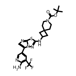 CC(C)(C)OC(=O)N1CCC2(CC1)CC(Nc1nn3c(-c4cnc(N)c(C(F)(F)F)c4)cnc3s1)C2